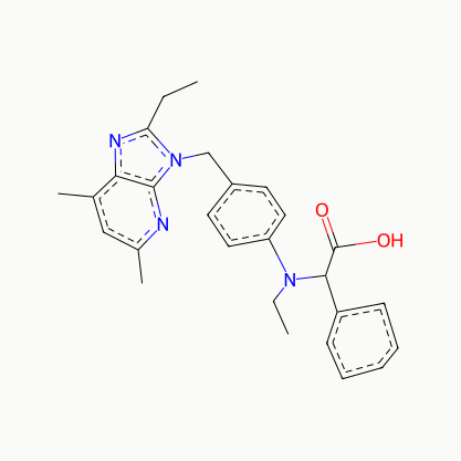 CCc1nc2c(C)cc(C)nc2n1Cc1ccc(N(CC)C(C(=O)O)c2ccccc2)cc1